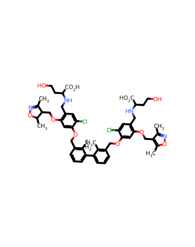 CC1=NOC(C)C1COc1cc(OCc2cccc(-c3cccc(COc4cc(OCc5c(C)noc5C)c(CNC(CCO)C(=O)O)cc4Cl)c3C)c2C)c(Cl)cc1CNC(CCO)C(=O)O